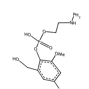 COc1cc(C)cc(CO)c1OP(=O)(O)OCCNP